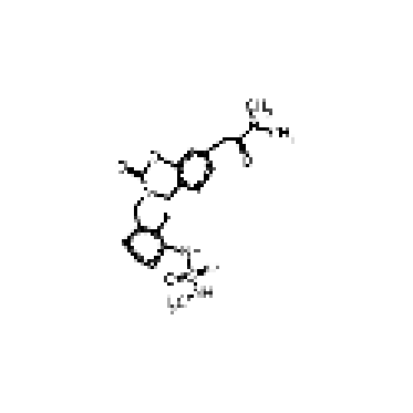 CNS(=O)(=O)Nc1cccc(CN2Cc3ccc(CC(=O)N(C)C)cc3OC2=O)c1F